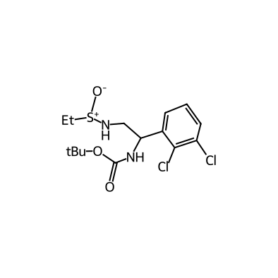 CC[S+]([O-])NCC(NC(=O)OC(C)(C)C)c1cccc(Cl)c1Cl